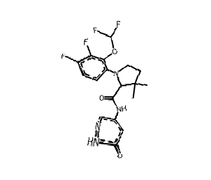 CC1(C)CCN(c2ccc(F)c(F)c2OC(F)F)C1C(=O)Nc1cn[nH]c(=O)c1